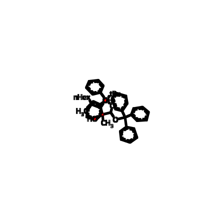 CCCCCCC(C)C(O)C(C)(O)C(OC(c1ccccc1)(c1ccccc1)c1ccccc1)O[Si](c1ccccc1)(c1ccccc1)C(C)(C)C